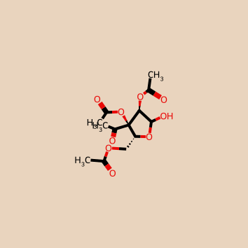 CC(=O)OC[C@H]1OC(O)[C@H](OC(C)=O)[C@@]1(OC(C)=O)C(C)=O